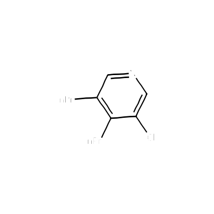 CCCc1[c]ncc(Cl)c1CCC